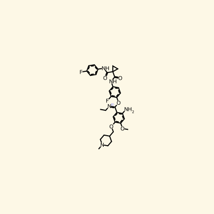 CC/N=C(/Oc1ccc(NC(=O)C2(C(=O)Nc3ccc(F)cc3)CC2)cc1F)c1cc(OCC2CCN(C)CC2)c(OC)cc1N